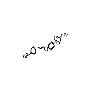 CCC[C@H]1CC[C@H](CCCOc2ccc([C@H]3OC[C@H](CCC)CO3)cc2)CC1